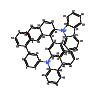 c1ccc(-c2cccc(N(c3cccc(-c4c(-n5c6ccccc6c6ccccc65)ccc5ccccc45)c3)c3ccccc3-c3ccccc3)c2)cc1